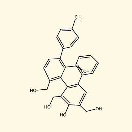 Cc1ccc(-c2ccc(CO)c(-c3c(-c4ccccc4)cc(CO)c(O)c3CO)c2CO)cc1